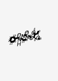 C=CC(OC)[C@@H](COC)OCn1ccc(NC(=O)c2ccccc2)nc1=O